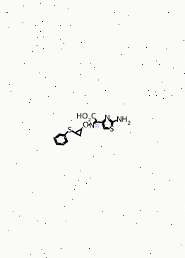 Nc1nc(/C(=N/OC2CC2Sc2ccccc2)C(=O)O)cs1